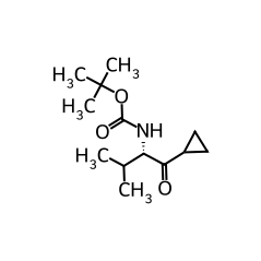 CC(C)[C@H](NC(=O)OC(C)(C)C)C(=O)C1CC1